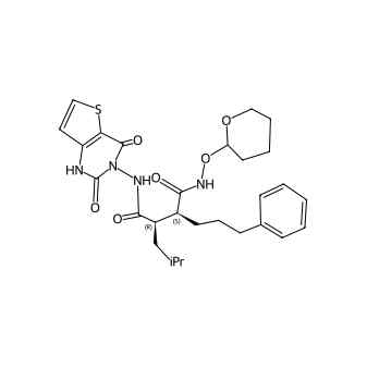 CC(C)C[C@@H](C(=O)Nn1c(=O)[nH]c2ccsc2c1=O)[C@H](CCCc1ccccc1)C(=O)NOC1CCCCO1